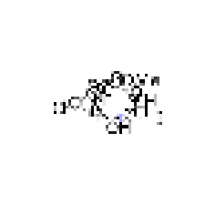 CCCc1cc(Cl)ccc1C1COc2ccc3cc2N(C1)CC1CCC1C(O)/C=C/CC(C)N(C)C(=O)CC3C(=O)OC